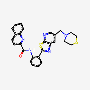 O=C(Nc1ccccc1-c1nc2cc(CN3CCSCC3)cnc2s1)c1ccc2ccccc2n1